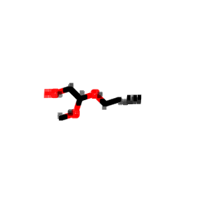 CCOC(CO)OC.[LiH]